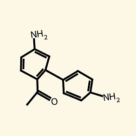 CC(=O)c1ccc(N)cc1-c1ccc(N)cc1